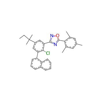 CCC(C)(C)c1cc(-c2noc(-c3c(C)cc(C)cc3C)n2)c(Cl)c(-c2cccc3ccccc23)c1